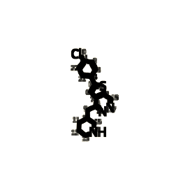 Clc1ccc(-c2cc3c(CC4CCCNC4)nncc3s2)cc1